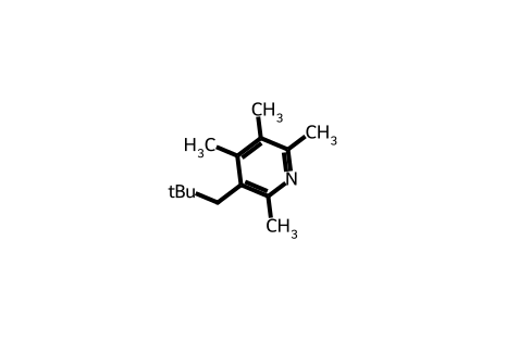 Cc1nc(C)c(CC(C)(C)C)c(C)c1C